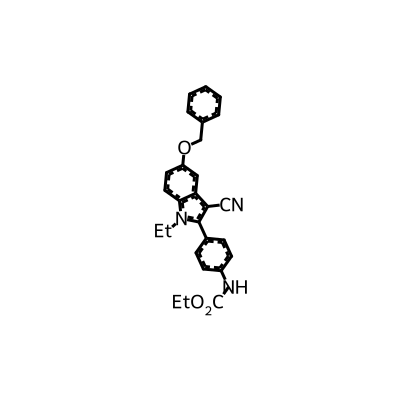 CCOC(=O)Nc1ccc(-c2c(C#N)c3cc(OCc4ccccc4)ccc3n2CC)cc1